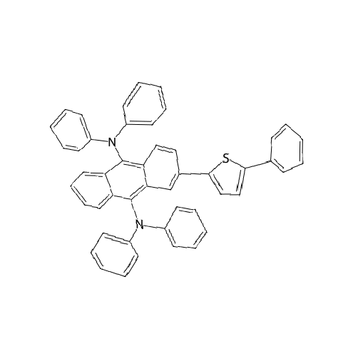 c1ccc(-c2ccc(-c3ccc4c(N(c5ccccc5)c5ccccc5)c5ccccc5c(N(c5ccccc5)c5ccccc5)c4c3)s2)cc1